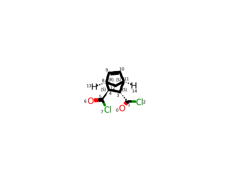 O=C(Cl)[C@@H]1[C@@H](C(=O)Cl)[C@H]2C=C[C@@H]1C2